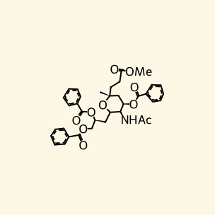 COC(=O)CC[C@]1(C)C[C@@H](OC(=O)c2ccccc2)C(NC(C)=O)C(C[C@@H](COC(=O)c2ccccc2)OC(=O)c2ccccc2)O1